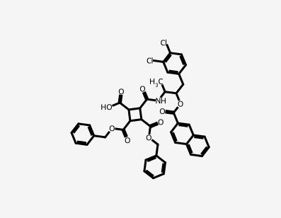 CC(NC(=O)C1C(C(=O)O)C(C(=O)OCc2ccccc2)C1C(=O)OCc1ccccc1)C(Cc1ccc(Cl)c(Cl)c1)OC(=O)c1ccc2ccccc2c1